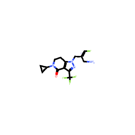 NC/C(=C\F)Cn1nc(C(F)(F)F)c2c1CCN(C1CC1)C2=O